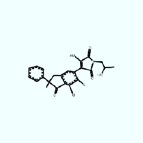 CC(O)CN1C(=O)C(O)=C(c2cc3c(c(Cl)c2Cl)C(=O)C(C)(c2ccccc2)C3)C1=O